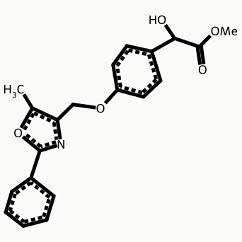 COC(=O)C(O)c1ccc(OCc2nc(-c3ccccc3)oc2C)cc1